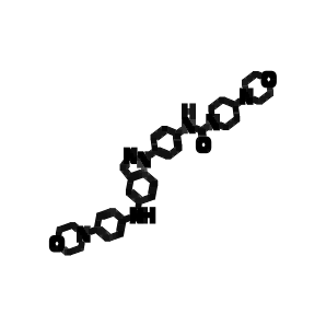 O=C(Nc1ccc(-n2ncc3cc(Nc4ccc(N5CCOCC5)cc4)ccc32)cc1)N1CCC(N2CCOCC2)CC1